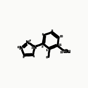 Cc1c(-n2ccnn2)cccc1C(C)(C)C